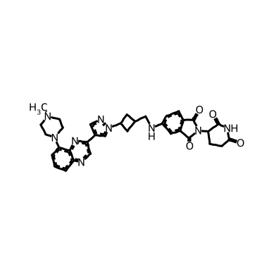 CN1CCN(c2cccc3ncc(-c4cnn(C5CC(CNc6ccc7c(c6)C(=O)N(C6CCC(=O)NC6=O)C7=O)C5)c4)nc23)CC1